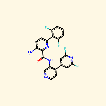 Nc1ccc(-c2c(F)cccc2F)nc1C(=O)Nc1cnccc1-c1cc(F)nc(F)c1